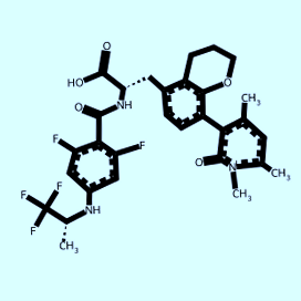 Cc1cc(C)n(C)c(=O)c1-c1ccc(C[C@H](NC(=O)c2c(F)cc(N[C@H](C)C(F)(F)F)cc2F)C(=O)O)c2c1OCCC2